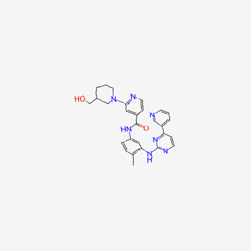 Cc1ccc(NC(=O)c2ccnc(N3CCCC(CO)C3)c2)cc1Nc1nccc(-c2cccnc2)n1